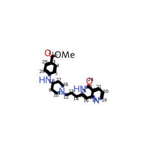 COC(=O)c1ccc(NC2CCN(CCCc3cc4ncccc4c(=O)[nH]3)CC2)cc1